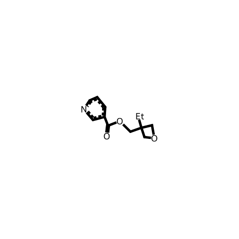 CCC1(COC(=O)c2cccnc2)COC1